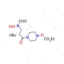 CCCC[C@H](CN(O)C=O)C(=O)N1CCN(OC(=O)OCC)CC1